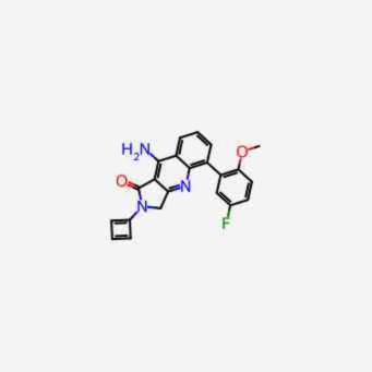 COc1ccc(F)cc1-c1cccc2c(N)c3c(nc12)CN(C1=CC=C1)C3=O